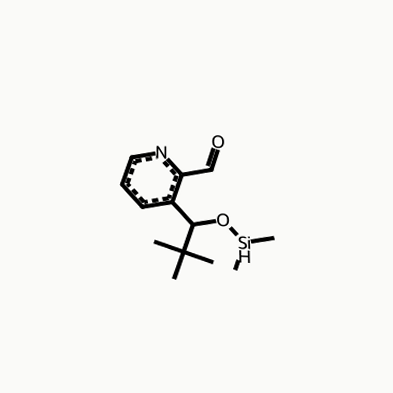 C[SiH](C)OC(c1cccnc1C=O)C(C)(C)C